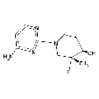 C[C@@]1(F)CN(c2nccc(N)n2)CC[C@H]1O